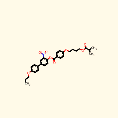 C=C(C)C(=O)OCCCCOc1ccc(C(=O)Oc2ccc(-c3ccc(OCCC)cc3)cc2[N+](=O)[O-])cc1